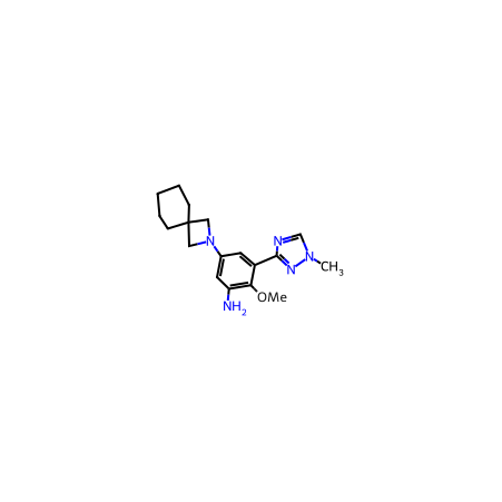 COc1c(N)cc(N2CC3(CCCCC3)C2)cc1-c1ncn(C)n1